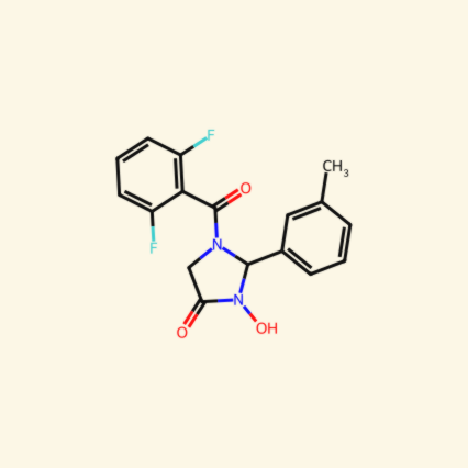 Cc1cccc(C2N(O)C(=O)CN2C(=O)c2c(F)cccc2F)c1